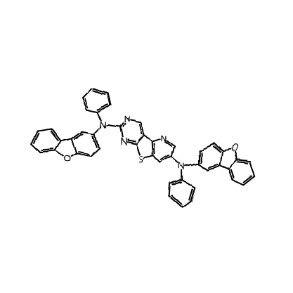 c1ccc(N(c2cnc3c(c2)sc2nc(N(c4ccccc4)c4ccc5oc6ccccc6c5c4)ncc23)c2ccc3oc4ccccc4c3c2)cc1